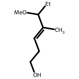 CCC(OC)/C(C)=C/CCO